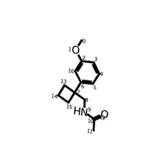 COc1cccc(C2(CNC(C)=O)CCC2)c1